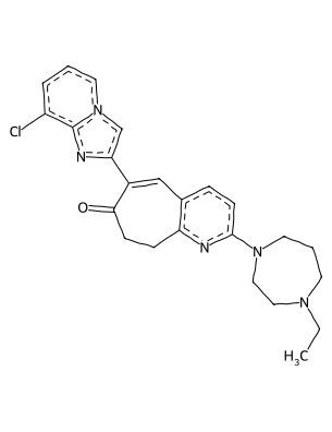 CCN1CCCN(c2ccc3c(n2)CCC(=O)C(c2cn4cccc(Cl)c4n2)=C3)CC1